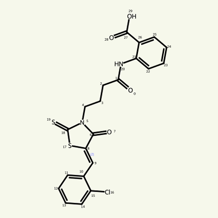 O=C(CCCN1C(=O)/C(=C/c2ccccc2Cl)SC1=S)Nc1ccccc1C(=O)O